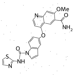 COc1cc2nccc(Oc3ccc4c(ccn4C(=O)Nc4nccs4)c3)c2cc1C(N)=O